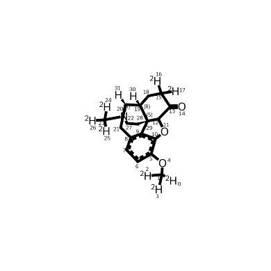 [2H]C([2H])([2H])Oc1ccc2c3c1OC1C(=O)C([2H])([2H])C[C@H]4[C@@H](C2)N(C([2H])([2H])[2H])CC[C@]314